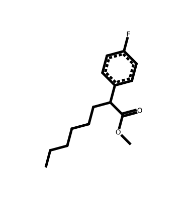 CCCCCCC(C(=O)OC)c1ccc(F)cc1